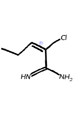 CC/C=C(/Cl)C(=N)N